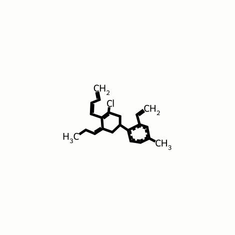 C=C/C=C\C1=C(Cl)CC(c2ccc(C)cc2C=C)C/C1=C/CC